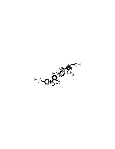 C#CCn1cc(-c2cnc3c(Nc4ccc(C(=O)N5CCC(CN)CC5)c(CC)c4)nccn23)c(C(F)(F)F)n1